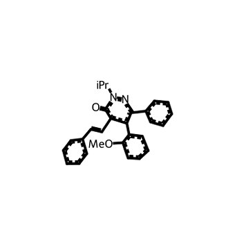 COc1ccccc1-c1c(-c2ccccc2)nn(C(C)C)c(=O)c1C=Cc1ccccc1